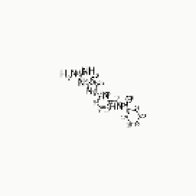 NC(N)=Nc1nc(-c2cccc(CNC(=O)C3CCCCC3)n2)cs1